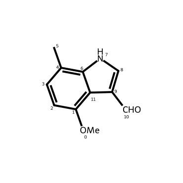 COc1ccc(C)c2[nH]cc(C=O)c12